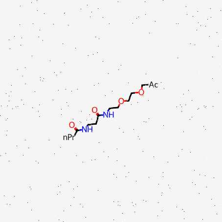 CCCC(=O)NCCC(=O)NCCOCCOCC(C)=O